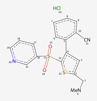 CNCc1cc(-c2ccccc2C#N)c(S(=O)(=O)c2cccnc2)s1.Cl